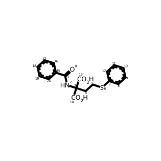 O=C(NC(CCSc1ccccc1)(C(=O)O)C(=O)O)c1ccccc1